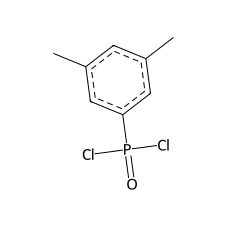 Cc1cc(C)cc(P(=O)(Cl)Cl)c1